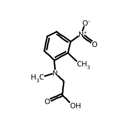 Cc1c(N(C)CC(=O)O)cccc1[N+](=O)[O-]